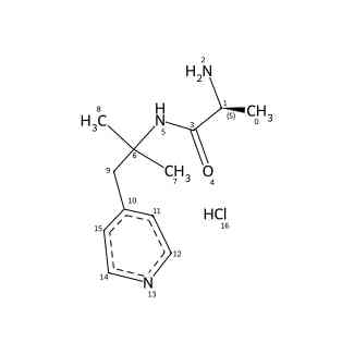 C[C@H](N)C(=O)NC(C)(C)Cc1ccncc1.Cl